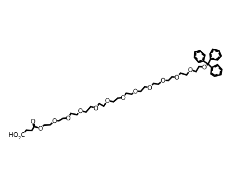 O=C(O)CCC(=O)OCCOCCOCCOCCOCCOCCOCCOCCOCCOCCOCCOCCOC(c1ccccc1)(c1ccccc1)c1ccccc1